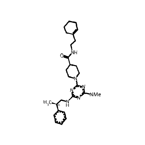 CNc1nc(NC[C@H](C)c2ccccc2)nc(N2CCC(C(=O)NCCC3=CCCCC3)CC2)n1